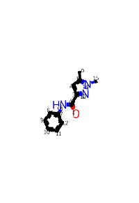 Cc1cc(C(=O)Nc2ccccc2)nn1C